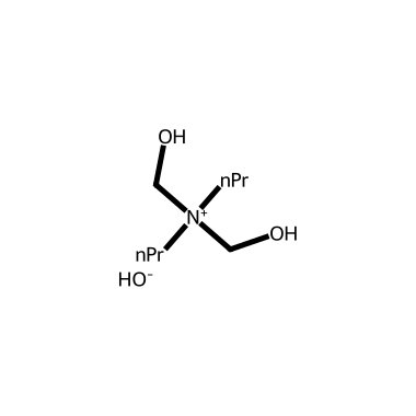 CCC[N+](CO)(CO)CCC.[OH-]